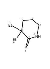 CCC1(CC)CCCNC1=S